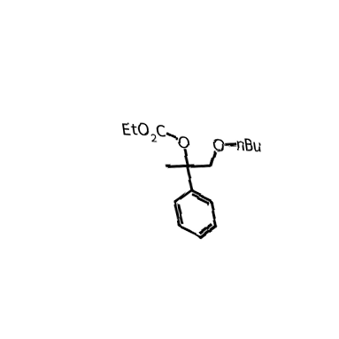 CCCCOCC(C)(OC(=O)OCC)c1ccccc1